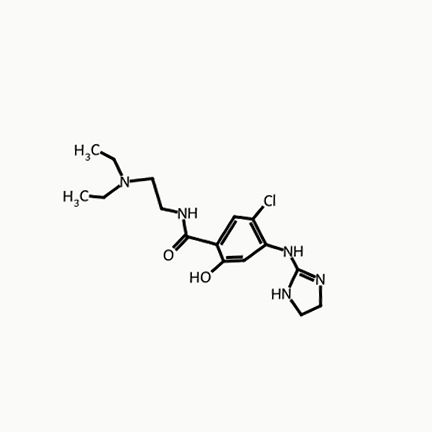 CCN(CC)CCNC(=O)c1cc(Cl)c(NC2=NCCN2)cc1O